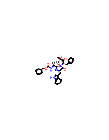 CC[C@@H](NC(=O)OCc1ccccc1)C(=O)N[C@@H](Cc1c[nH]c2ccccc12)C(=O)N[C@@H](Cc1ccccc1)C(=O)[C@@]1(C)CO1